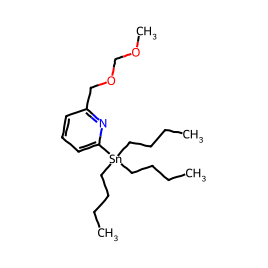 CCC[CH2][Sn]([CH2]CCC)([CH2]CCC)[c]1cccc(COCOC)n1